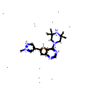 Cn1cc(-c2cc3ncnc(N4CC(C)(C)NC(C)(C)C4)c3s2)cn1